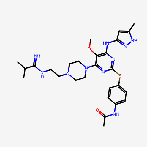 COc1c(Nc2cc(C)[nH]n2)nc(Sc2ccc(NC(C)=O)cc2)nc1N1CCN(CCNC(=N)C(C)C)CC1